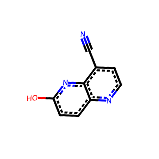 N#Cc1ccnc2ccc(O)nc12